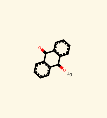 O=C1c2ccccc2C(=O)c2ccccc21.[Ag]